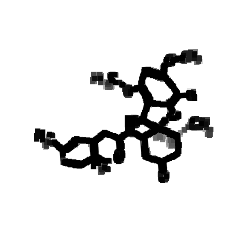 COc1cc(OC)c2c(c1Cl)O[C@]1(C2=O)C(NC(=O)Cc2cc(C)ccc2C)=CC(=O)C[C@H]1C